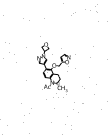 CC(=O)N1c2ccc(-c3cnn(C4COC4)c3)c(OCc3ccno3)c2CC[C@@H]1C